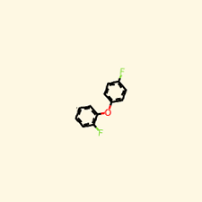 Fc1ccc(Oc2c[c]ccc2F)cc1